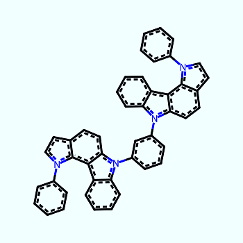 c1ccc(-n2ccc3ccc4c(c5ccccc5n4-c4cccc(-n5c6ccccc6c6c7c(ccc65)ccn7-c5ccccc5)c4)c32)cc1